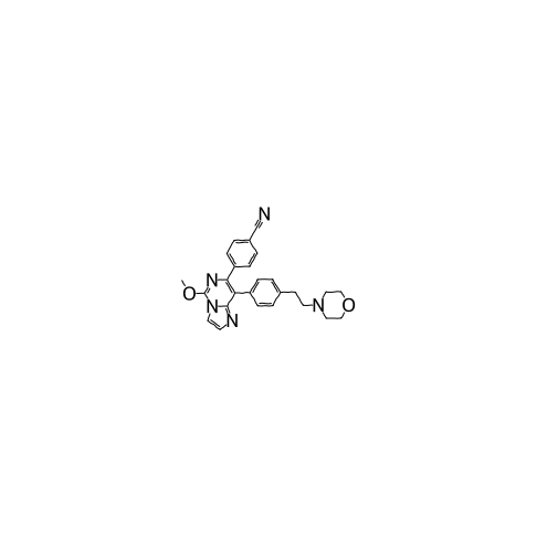 COc1nc(-c2ccc(C#N)cc2)c(-c2ccc(CCN3CCOCC3)cc2)c2nccn12